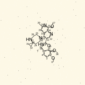 COc1ccc([C@H](C)NC(=O)c2cnc3c(OC)nc(C)cc3c2N2CCNC3(CC2)CC3)cc1OC